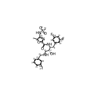 Cc1oc(C(=O)N[C@@H](Cc2cc(F)cc(F)c2)[C@H](O)CNCc2cccc(I)c2)nc1NS(C)(=O)=O